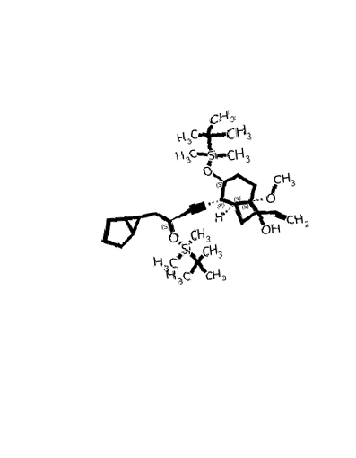 C=CC1(O)C[C@H]2[C@H](C#C[C@H](CC3C4CCCC43)O[Si](C)(C)C(C)(C)C)[C@@H](O[Si](C)(C)C(C)(C)C)CC[C@]21OC